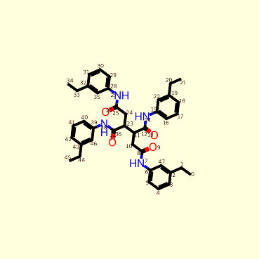 CCc1cccc(NC(=O)CC(C(=O)Nc2cccc(CC)c2)C(CC(=O)Nc2cccc(CC)c2)C(=O)Nc2cccc(CC)c2)c1